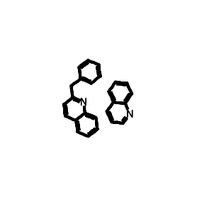 c1ccc(Cc2ccc3ccccc3n2)cc1.c1ccc2ncccc2c1